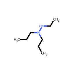 [CH2]CNN(CCC)CCC